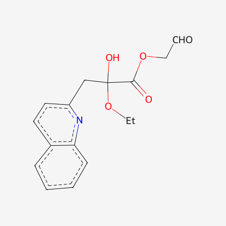 CCOC(O)(Cc1ccc2ccccc2n1)C(=O)OCC=O